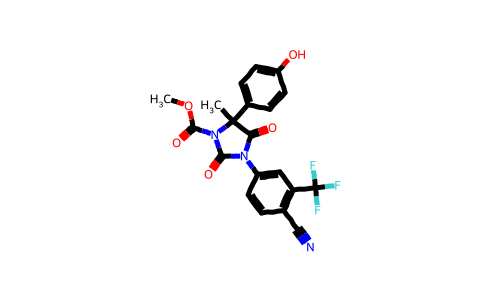 COC(=O)N1C(=O)N(c2ccc(C#N)c(C(F)(F)F)c2)C(=O)C1(C)c1ccc(O)cc1